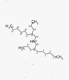 CCCCCCC(CCC)CNCC(CCC)CCCCCC